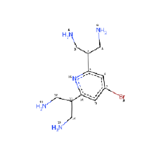 NCC(CN)c1cc(Br)cc(C(CN)CN)n1